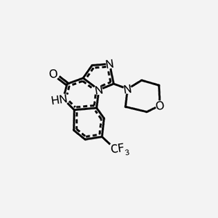 O=c1[nH]c2ccc(C(F)(F)F)cc2n2c(N3CCOCC3)ncc12